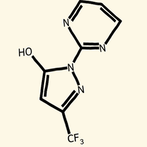 Oc1cc(C(F)(F)F)nn1-c1ncccn1